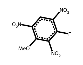 COc1c([N+](=O)[O-])cc([N+](=O)[O-])c(F)c1[N+](=O)[O-]